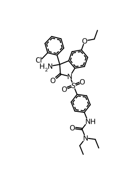 CCOc1ccc2c(c1)C(N)(c1ccccc1Cl)C(=O)N2S(=O)(=O)c1ccc(NC(=O)N(CC)CC)cc1